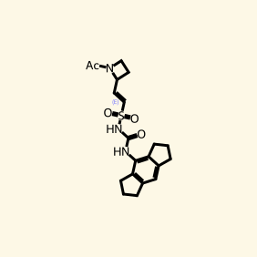 CC(=O)N1CCC1/C=C/S(=O)(=O)NC(=O)Nc1c2c(cc3c1CCC3)CCC2